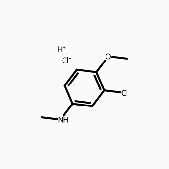 CNc1ccc(OC)c(Cl)c1.[Cl-].[H+]